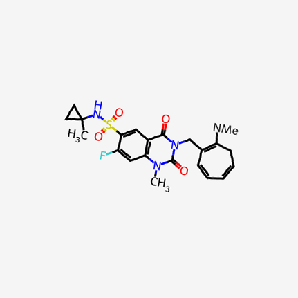 CNC1=C(Cn2c(=O)c3cc(S(=O)(=O)NC4(C)CC4)c(F)cc3n(C)c2=O)C=CC=CC1